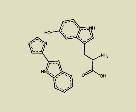 NC(Cc1c[nH]c2ccc(O)cc12)C(=O)O.c1ccc2[nH]c(-c3cscn3)nc2c1